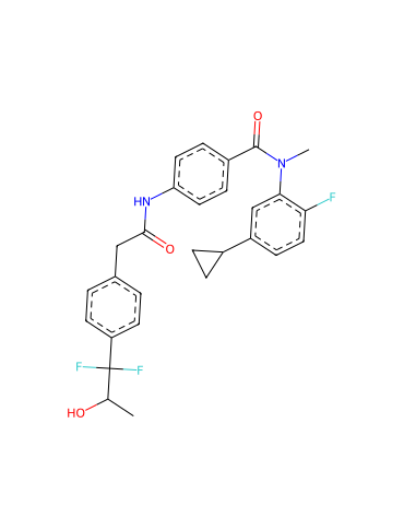 CC(O)C(F)(F)c1ccc(CC(=O)Nc2ccc(C(=O)N(C)c3cc(C4CC4)ccc3F)cc2)cc1